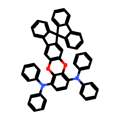 c1ccc(N(c2ccccc2)c2ccc(N(c3ccccc3)c3ccccc3)c3c2Oc2cc4c(cc2O3)C2(c3ccccc3-c3ccccc32)c2ccccc2-4)cc1